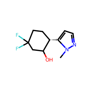 Cn1nccc1[C@H]1CCC(F)(F)CC1O